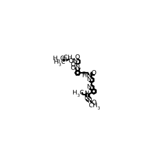 CCc1nc(-c2cccc3cc(-c4ccc(C5(NCC#Cc6cccc7c6CN(C6CCC(=O)N(COCC[Si](C)(C)C)C6=O)C7=O)COC5)nc4)ncc23)c2n1CCN(C(C)=O)C2